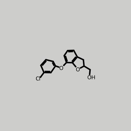 OCC1Cc2cccc(Oc3cccc(Cl)c3)c2O1